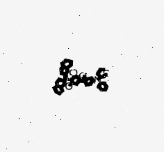 c1ccc(N(c2ccccc2)c2ccc3c(c2)oc2c4c5c(cc23)Oc2c(ccc3ccccc23)B5c2ccc3ccccc3c2O4)cc1